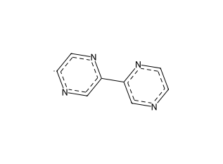 [c]1cnc(-c2cnccn2)cn1